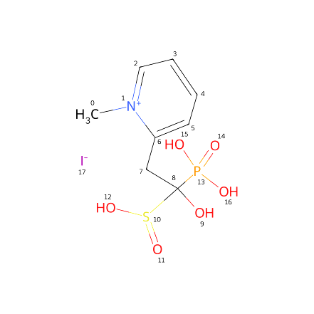 C[n+]1ccccc1CC(O)(S(=O)O)P(=O)(O)O.[I-]